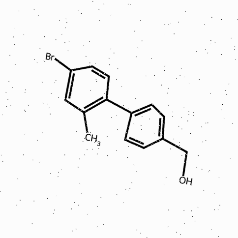 Cc1cc(Br)ccc1-c1ccc(CO)cc1